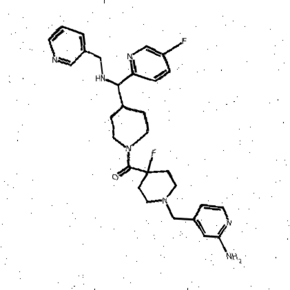 Nc1cc(CN2CCC(F)(C(=O)N3CCC(C(NCc4cccnc4)c4ccc(F)cn4)CC3)CC2)ccn1